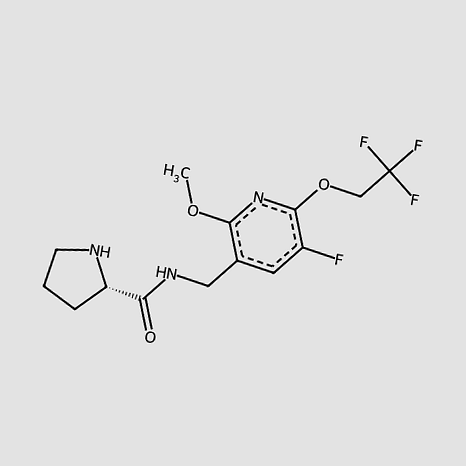 COc1nc(OCC(F)(F)F)c(F)cc1CNC(=O)[C@@H]1CCCN1